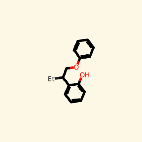 CCC(COc1ccccc1)c1ccccc1O